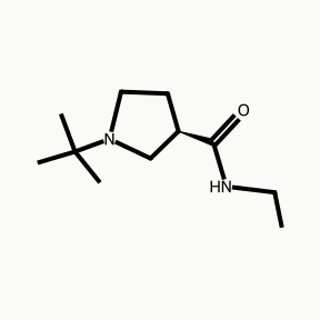 CCNC(=O)[C@@H]1CCN(C(C)(C)C)C1